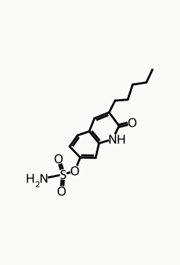 CCCCCc1cc2ccc(OS(N)(=O)=O)cc2[nH]c1=O